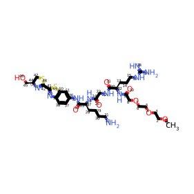 COCCOCCOCC(=O)N[C@H](CCCNC(=N)N)C(=O)NCC(=O)N[C@@H](CCCCN)C(=O)Nc1ccc2nc(C3=N[C@@H](CO)CS3)sc2c1